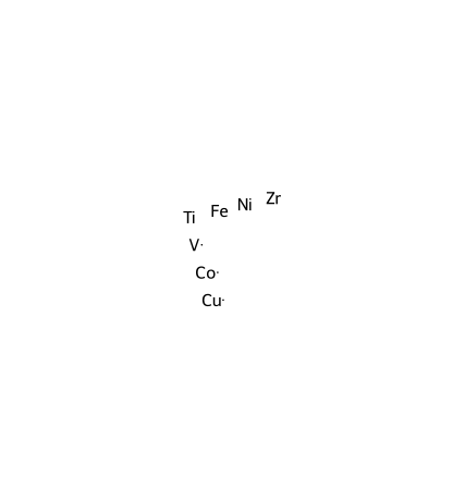 [Co].[Cu].[Fe].[Ni].[Ti].[V].[Zr]